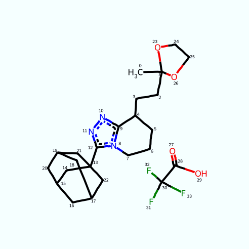 CC1(CCC2CCCn3c2nnc3C23CC4CC(CC(C4)C2)C3)OCCO1.O=C(O)C(F)(F)F